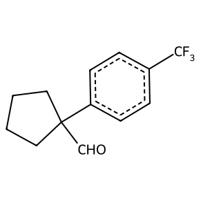 O=CC1(c2ccc(C(F)(F)F)cc2)CCCC1